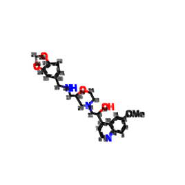 COc1ccc2nccc(C(O)CN3CCOC(CNCc4ccc5c(c4)OCO5)C3)c2c1